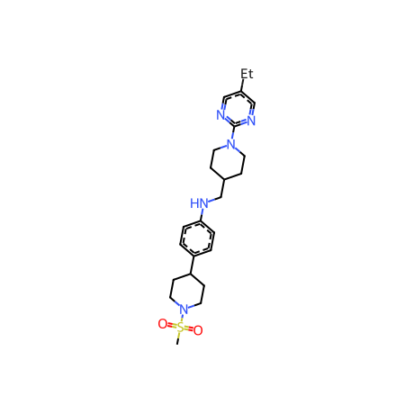 CCc1cnc(N2CCC(CNc3ccc(C4CCN(S(C)(=O)=O)CC4)cc3)CC2)nc1